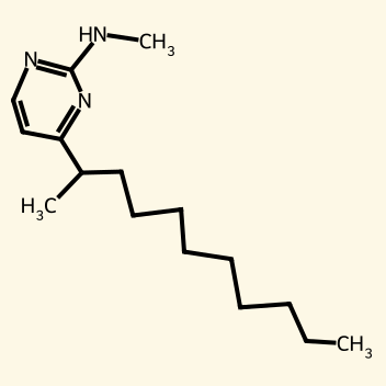 CCCCCCCCCC(C)c1ccnc(NC)n1